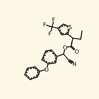 CCC(C(=O)OC(C#N)c1cccc(Oc2ccccc2)c1)c1cc(C(F)(F)F)cs1